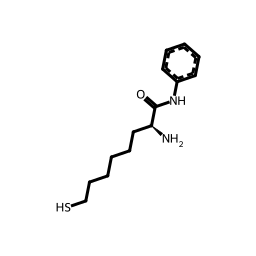 N[C@@H](CCCCCCS)C(=O)Nc1ccccc1